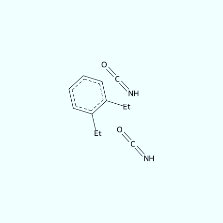 CCc1ccccc1CC.N=C=O.N=C=O